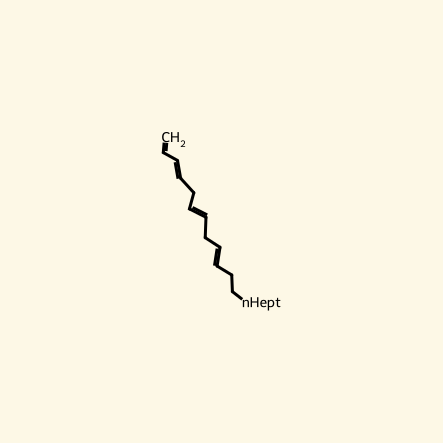 C=CC=CCC=CCC=CCCCCCCCCC